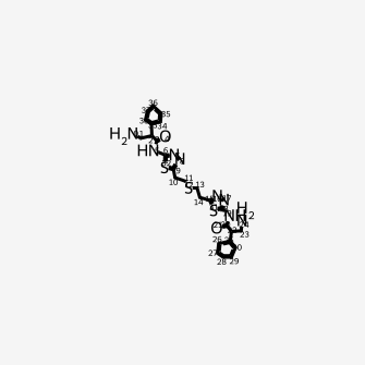 NCC(C(=O)Nc1nnc(CCSCCc2nnc(NC(=O)C(CN)c3ccccc3)s2)s1)c1ccccc1